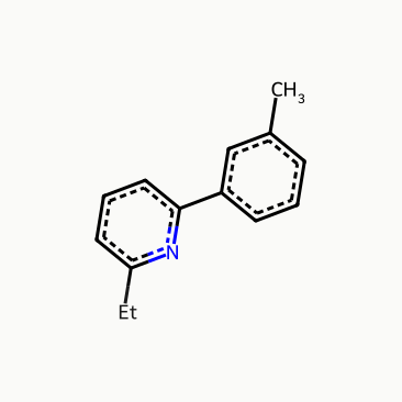 CCc1cccc(-c2cccc(C)c2)n1